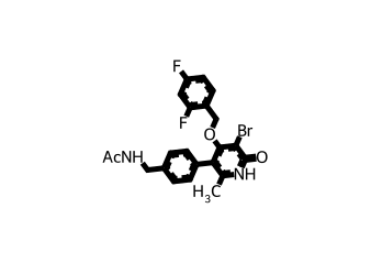 [CH2]C(=O)NCc1ccc(-c2c(C)[nH]c(=O)c(Br)c2OCc2ccc(F)cc2F)cc1